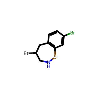 CCC1CNSc2cc(Br)ccc2C1